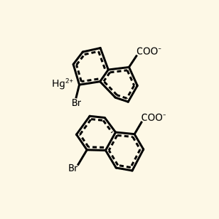 O=C([O-])c1cccc2c(Br)cccc12.O=C([O-])c1cccc2c(Br)cccc12.[Hg+2]